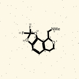 CNCC1OCCc2ccc3c(c21)OC(F)(F)O3